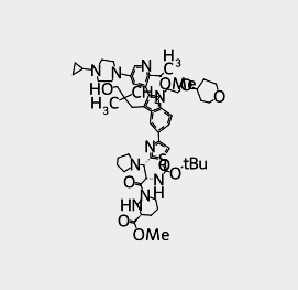 COC(=O)[C@@H]1CCCN(C(=O)[C@@H](NC(=O)OC(C)(C)C)[C@@H](c2nc(-c3ccc4c(c3)c(CC(C)(C)CO)c(-c3cc(N5CCN(C6CC6)CC5)cnc3[C@H](C)OC)n4CCOC3CCOCC3)cs2)N2CCCC2)N1